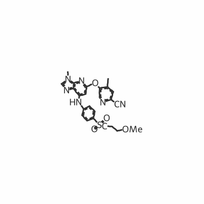 COCCCS(=O)(=O)c1ccc(Nc2cc(Oc3cnc(C#N)cc3C)nc3c2ncn3C)cc1